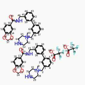 C[N+]1(Cc2cccc(-c3cccc(CNC(=O)c4ccc5c(c4)OCO5)c3)c2)CCNCC1.C[N+]1(Cc2cccc(-c3cccc(CNC(=O)c4ccc5c(c4)OCO5)c3)c2)CCNCC1.O=C([O-])C(F)(F)F.O=C([O-])C(F)(F)F